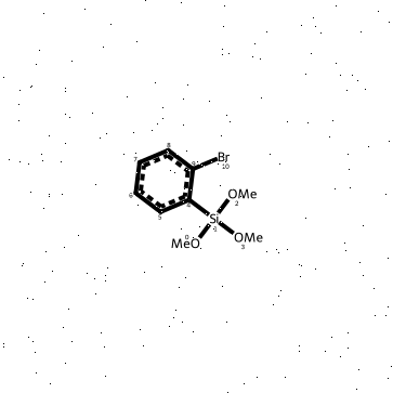 CO[Si](OC)(OC)c1ccccc1Br